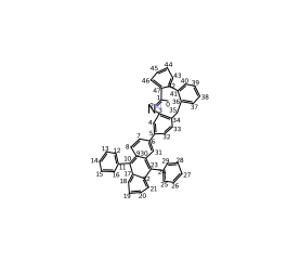 C/C1=N\c2cc(-c3ccc4c(-c5ccccc5)c5ccccc5c(-c5ccccc5)c4c3)ccc2Cc2ccccc2-c2ccccc21